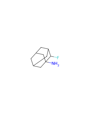 NC12CC3CC(CC(C3)C1F)C2